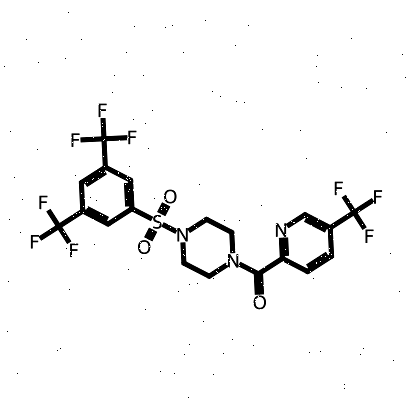 O=C(c1ccc(C(F)(F)F)cn1)N1CCN(S(=O)(=O)c2cc(C(F)(F)F)cc(C(F)(F)F)c2)CC1